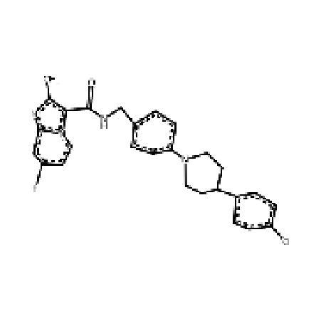 Cc1nc2cc(F)ccn2c1C(=O)NCc1ccc(N2CCC(c3ccc(Cl)cc3)CC2)cc1